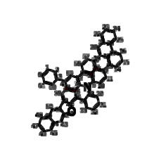 c1ccc(-c2ccc(N(c3ccc(-c4cccc5c4ccc4ccccc45)cc3)c3ccccc3-c3cccc4c3oc3cc5ccccc5cc34)c(-c3ccccc3)c2)cc1